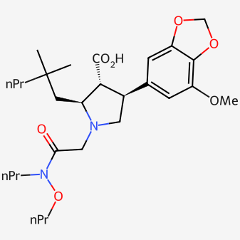 CCCON(CCC)C(=O)CN1C[C@H](c2cc(OC)c3c(c2)OCO3)[C@@H](C(=O)O)[C@@H]1CC(C)(C)CCC